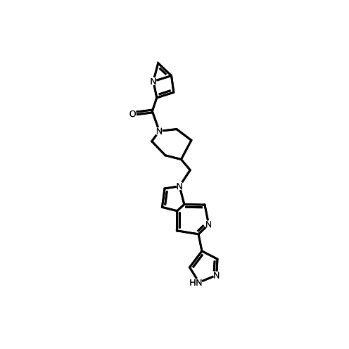 O=C(c1cc2cn1-2)N1CCC(Cn2ccc3cc(-c4cn[nH]c4)ncc32)CC1